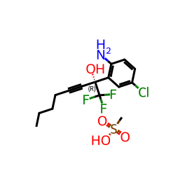 CCCCC#C[C@@](O)(c1cc(Cl)ccc1N)C(F)(F)F.CS(=O)(=O)O